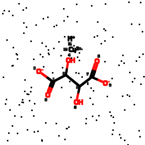 O=C([O-])C(O)C(O)C(=O)[O-].[Cu+2].[H+]